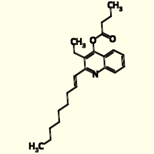 CCCCCCC/C=C/c1nc2ccccc2c(OC(=O)CCC)c1CC